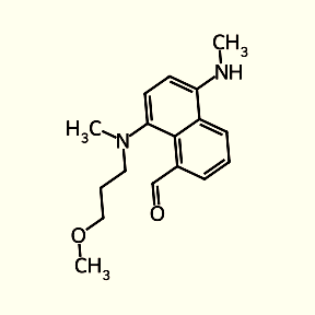 CNc1ccc(N(C)CCCOC)c2c(C=O)cccc12